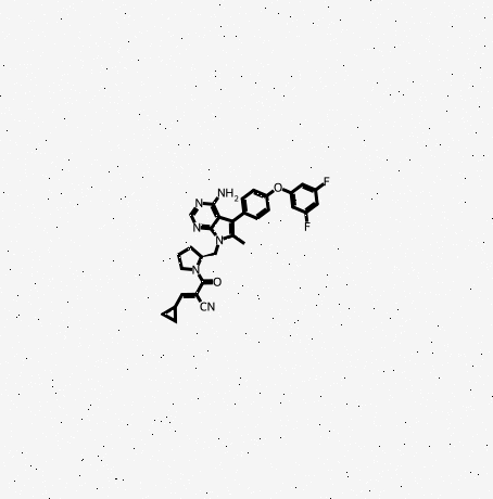 Cc1c(-c2ccc(Oc3cc(F)cc(F)c3)cc2)c2c(N)ncnc2n1C[C@@H]1CCCN1C(=O)/C(C#N)=C/C1CC1